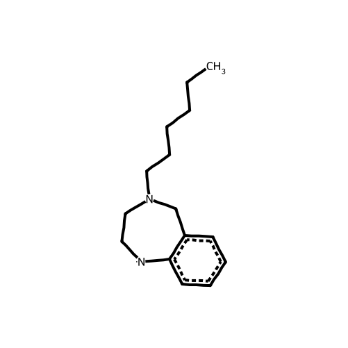 CCCCCCN1CC[N]c2ccccc2C1